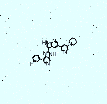 Fc1cccc(-c2cncc3[nH]c(-c4n[nH]c5ncc(-c6cncc(N7CCCCC7)c6)cc45)nc23)c1